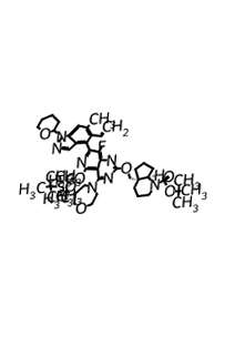 C=Cc1c(C)cc2c(cnn2C2CCCCO2)c1-c1nc(OC)c2c(N3CCOC[C@@](C)(O[Si](C)(C)C(C)(C)C)C3)nc(OC[C@]34CCC[C@H]3N(C(=O)OC(C)(C)C)CCC4)nc2c1F